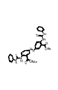 COC(=O)c1cc([Se][Se]c2ccc(NC(=S)Nc3ccccc3)c(C(=O)OC)c2)ccc1NC(=S)Nc1ccccc1